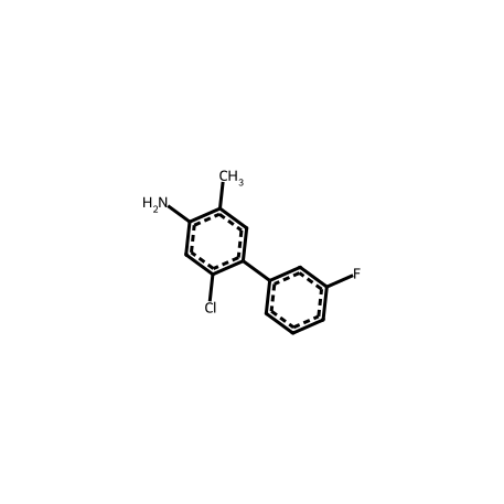 Cc1cc(-c2cccc(F)c2)c(Cl)cc1N